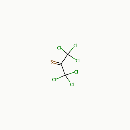 S=C(C(Cl)(Cl)Cl)C(Cl)(Cl)Cl